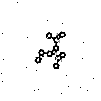 c1ccc(-c2nc(-n3c4ccc(-c5nc(-c6ccccc6)c6sc7ccccc7c6n5)cc4c4cc(-c5cccc6c5oc5ccccc56)ccc43)c3ccccc3n2)cc1